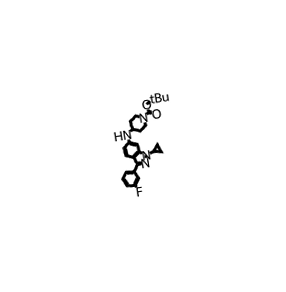 CC(C)(C)OC(=O)N1CCC(Nc2ccc3c(-c4cccc(F)c4)nn(C4CC4)c3c2)CC1